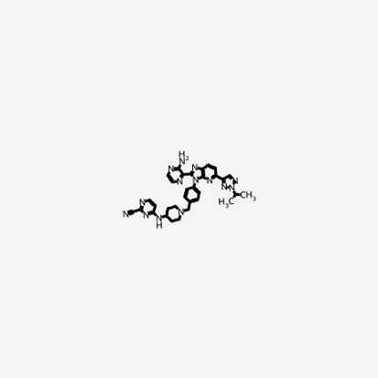 CC(C)n1ncc(-c2ccc3nc(-c4nccnc4N)n(-c4ccc(CN5CCC(Nc6ccnc(C#N)n6)CC5)cc4)c3n2)n1